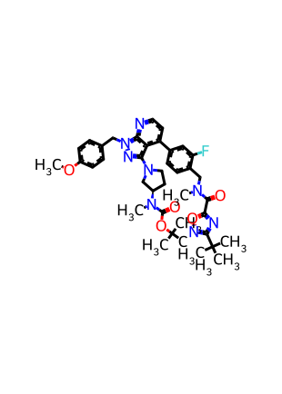 COc1ccc(Cn2nc(N3CC[C@@H](N(C)C(=O)OC(C)(C)C)C3)c3c(-c4ccc(CN(C)C(=O)c5nc(C(C)(C)C)no5)c(F)c4)ccnc32)cc1